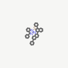 c1ccc(-c2ccc3c(ccc4c5c6ccccc6c6c7ccccc7sc6c5n(-c5nc(-c6ccccc6)c6ccccc6n5)c34)c2)cc1